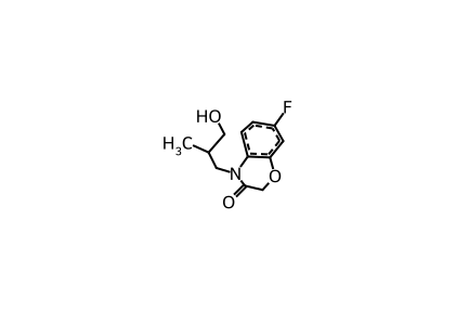 CC(CO)CN1C(=O)COc2cc(F)ccc21